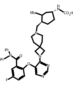 CC(C)N(C(=O)c1cc(F)ccc1Oc1cncnc1N1CC2(CCN(C[C@@H]3CC[C@@H](NC(=O)O)CC3C(C)(C)C)CC2)C1)C(C)C